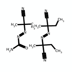 CC(C)(C#N)N=NC(N)=O.CCC(C)(C#N)N=NC(C)(C#N)CC